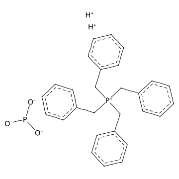 [H+].[H+].[O-]P([O-])[O-].c1ccc(C[P+](Cc2ccccc2)(Cc2ccccc2)Cc2ccccc2)cc1